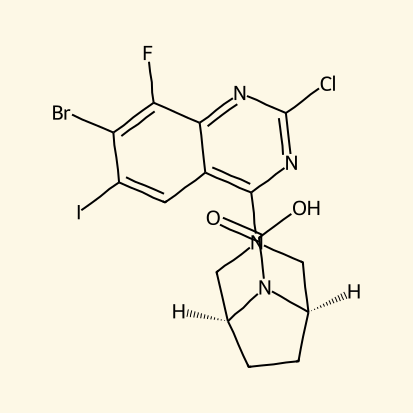 O=C(O)N1[C@@H]2CC[C@H]1CN(c1nc(Cl)nc3c(F)c(Br)c(I)cc13)C2